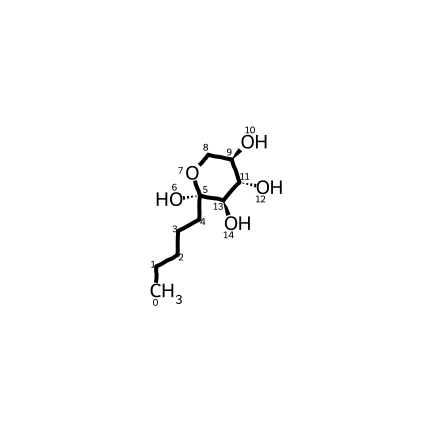 CCCCC[C@@]1(O)OC[C@@H](O)[C@H](O)[C@H]1O